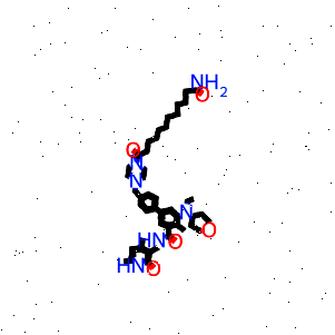 CCN(c1cc(-c2ccc(CN3CCN(C(=O)CCCCCCCCCCC(N)=O)CC3)cc2)cc(C(=O)NCc2c(C)cc(C)[nH]c2=O)c1C)C1CCOCC1